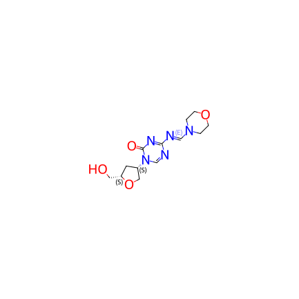 O=c1nc(/N=C/N2CCOCC2)ncn1[C@@H]1CO[C@H](CO)C1